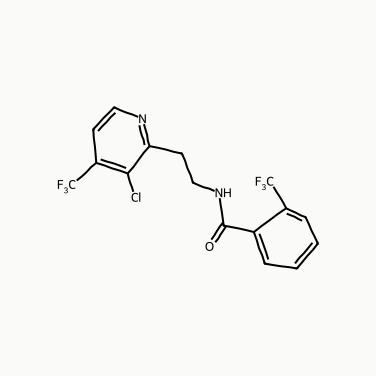 O=C(NCCc1nccc(C(F)(F)F)c1Cl)c1ccccc1C(F)(F)F